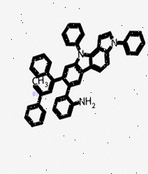 C/C=C(\C=C(c1ccccc1)c1cc2c(cc1-c1ccccc1N)c1ccc3c(ccn3-c3ccccc3)c1n2-c1ccccc1)c1ccccc1